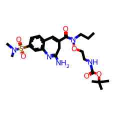 CCCN(OCCNC(=O)OC(C)(C)C)C(=O)C1=Cc2ccc(S(=O)(=O)N(C)C)cc2N=C(N)C1